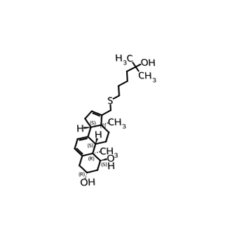 CC(C)(O)CCCCSCC1=CC[C@H]2C3=CC=C4C[C@@H](O)C[C@H](O)[C@]4(C)[C@H]3CC[C@]12C